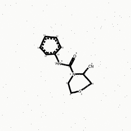 N#CC1CSCCN1C(=O)Nc1ccccc1